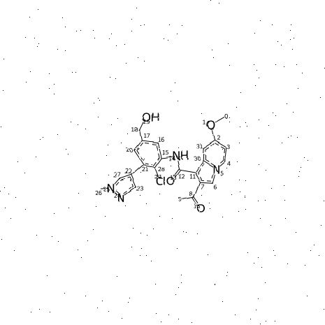 COc1ccn2cc(C(C)=O)c(C(=O)Nc3cc(CO)cc(-c4cnn(C)c4)c3Cl)c2c1